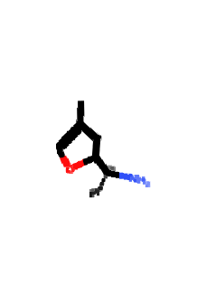 CC1=COC([C@H](N)C(C)C)C1